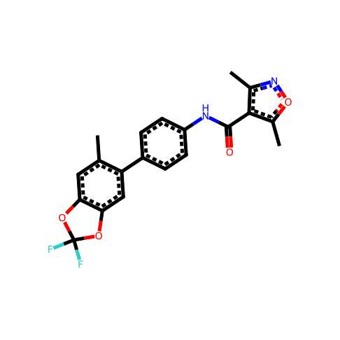 Cc1cc2c(cc1-c1ccc(NC(=O)c3c(C)noc3C)cc1)OC(F)(F)O2